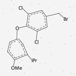 COc1ccc(Oc2c(Cl)cc(CBr)cc2Cl)cc1C(C)C